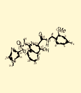 CSc1cc(F)ccc1CNC(=O)c1nc(N(C)S(=O)(=O)c2cn(C)cn2)c2cccnc2c1O